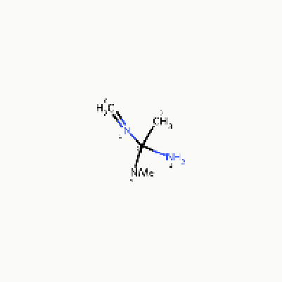 C=NC(C)(N)NC